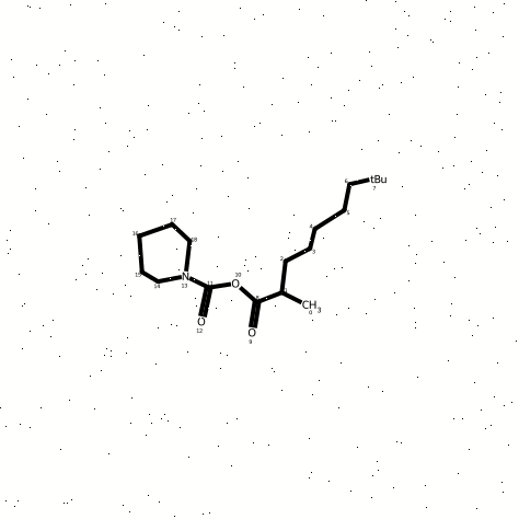 CC(CCCCCC(C)(C)C)C(=O)OC(=O)N1CCCCC1